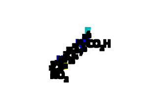 O=C(O)N(CCF)c1ccc(-c2ccc(-c3nc4ccc([N+](=O)[O-])cc4s3)cc2)cn1